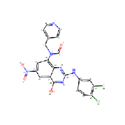 O=CN(Cc1ccncc1)c1cc([N+](=O)[O-])cc2c(O)nc(Nc3ccc(Cl)c(Cl)c3)nc12